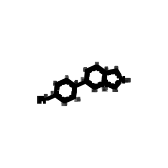 CC(C)c1ccc(-c2ccc3cncn3c2)cc1